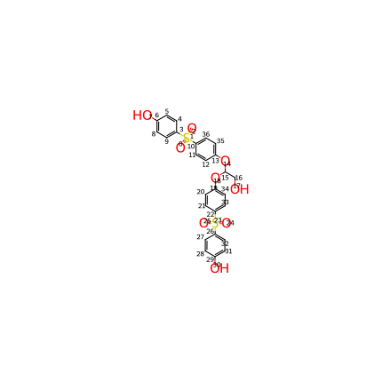 O=S(=O)(c1ccc(O)cc1)c1ccc(OC(CO)Oc2ccc(S(=O)(=O)c3ccc(O)cc3)cc2)cc1